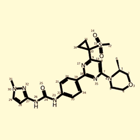 C[C@H]1COCCN1c1cc(C2(S(C)(=O)=O)CC2)nc(-c2ccc(NC(=O)Nc3ccn(C)n3)cc2)n1